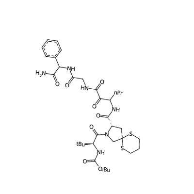 CCCC(NC(=O)[C@@H]1CC2(CN1C(=O)[C@@H](NC(=O)OCC(C)C)C(C)(C)C)SCCCS2)C(=O)C(=O)NCC(=O)NC(C(N)=O)c1ccccc1